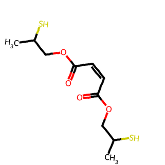 CC(S)COC(=O)/C=C\C(=O)OCC(C)S